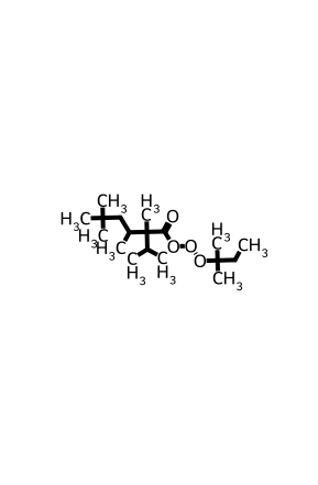 CCC(C)(C)OOOC(=O)C(C)(C(C)C)C(C)CC(C)(C)C